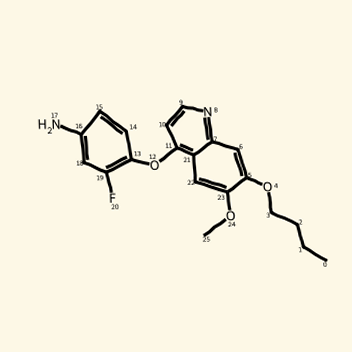 CCCCOc1cc2nccc(Oc3ccc(N)cc3F)c2cc1OC